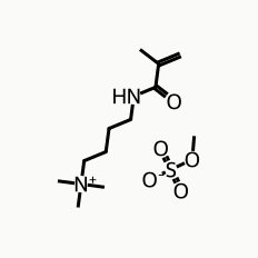 C=C(C)C(=O)NCCCC[N+](C)(C)C.COS(=O)(=O)[O-]